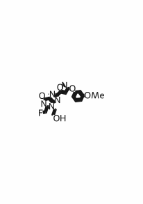 COc1cccc(Oc2cc(C3=Nc4c(c(=O)nc(CF)n4CCO)[N]3)on2)c1